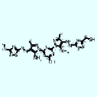 CSc1nsc(N=Nc2c(C)nn(-c3nc(O)nc(-n4nc(C)c(N=Nc5nc(CS)ns5)c4N)n3)c2N)n1